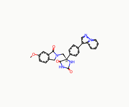 COc1ccc2c(c1)C(=O)N(C[C@@]1(c3ccc(-c4cnn5ccccc45)cc3)NC(=O)NC1=O)C2